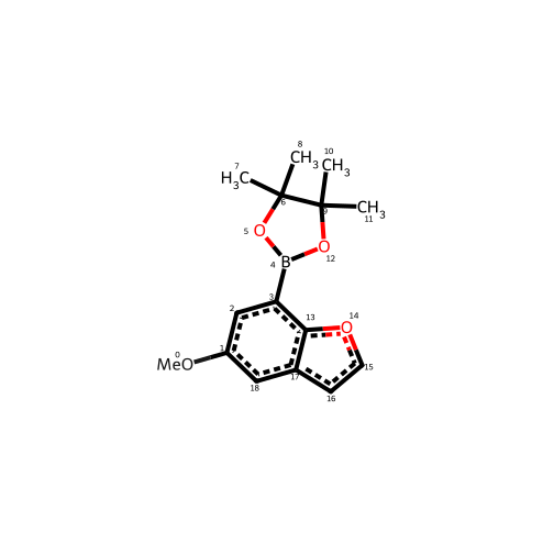 COc1cc(B2OC(C)(C)C(C)(C)O2)c2occc2c1